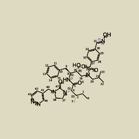 CC[C@H](C)[C@@H](C(=O)N[C@@H](Cc1ccccc1)[C@H](O)CN(CC(C)C)S(=O)(=O)c1ccc(/C=N/O)cc1)N1CCN(Cc2ccnnc2)C1=O